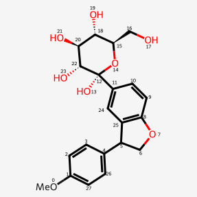 COc1ccc(C2COc3ccc([C@]4(O)O[C@H](CO)[C@@H](O)[C@H](O)[C@H]4O)cc32)cc1